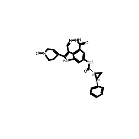 O=C1NN=Cc2c(C3=CCN(Cl)CC3)[nH]c3cc(NC(=O)[C@@H]4C[C@H]4c4ccccc4)cc1c23